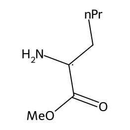 CCCC[C](N)C(=O)OC